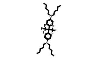 CCCCCN(CCCCC)c1ccc(C(c2ccc(N(CCCCC)CCCCC)cc2)(C(F)(F)F)C(F)(F)F)cc1